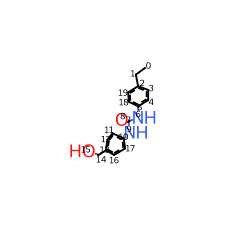 CCc1ccc(NC(=O)Nc2ccc(CO)cc2)cc1